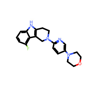 Fc1cccc2[nH]c3c(c12)CN(c1ccc(N2CCOCC2)cn1)CC3